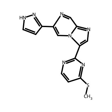 CSc1ccnc(-c2cnc3cnc(-c4cc[nH]n4)cn23)n1